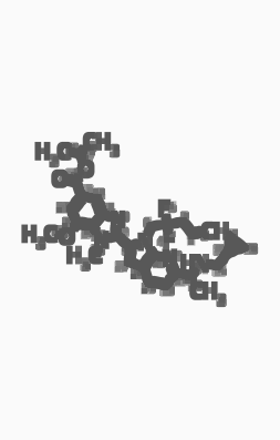 C=CCC(F)(F)Cn1c(-c2nc3cc(C(=O)OC(C)C)cc(OC)c3n2C)cc2ccc([C@@H](C)NCC3CC3)nc21